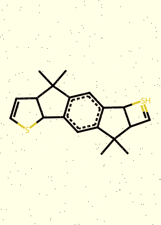 CC1(C)c2cc3c(cc2C2SC=CC21)C(C)(C)C1C=[SH]C31